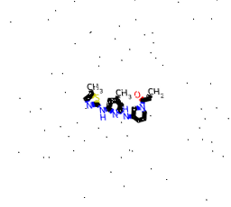 C=CC(=O)N1CCCC(Nc2cc(C)cc(Nc3ncc(C)s3)n2)C1